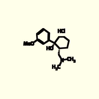 COc1cccc([C@@]2(O)CCCC[C@@H]2CN(C)C)c1.Cl